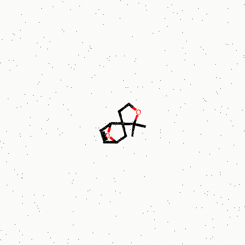 CC1(C)OCCC12CC1C=CC2O1